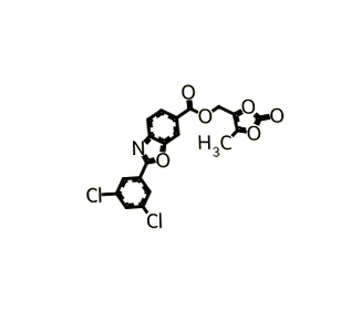 Cc1oc(=O)oc1COC(=O)c1ccc2nc(-c3cc(Cl)cc(Cl)c3)oc2c1